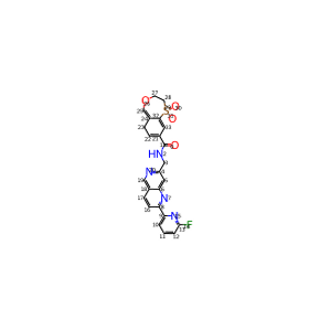 O=C(NCc1cc2nc(-c3cccc(F)n3)ccc2cn1)C1=CCC2=COCCS(=O)(=O)C2=C1